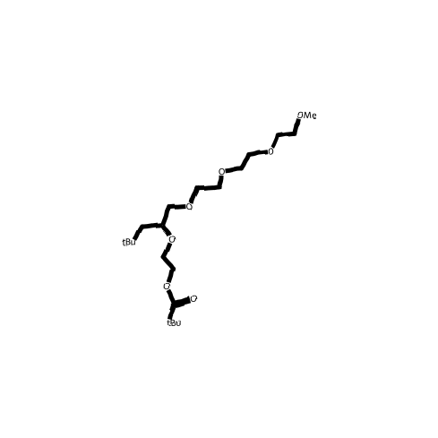 COCCOCCOCCOCC(CC(C)(C)C)OCCOC(=O)C(C)(C)C